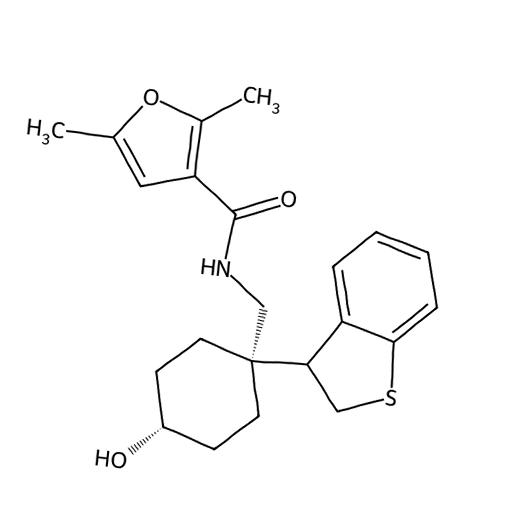 Cc1cc(C(=O)NC[C@]2(C3CSc4ccccc43)CC[C@H](O)CC2)c(C)o1